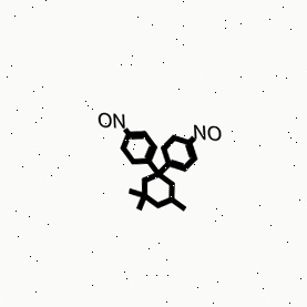 CC1CC(C)(C)CC(C2=CC=C(N=O)CC2)(C2=CC=C(N=O)CC2)C1